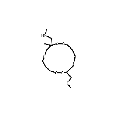 CNCC1(C)CCCCCCCC(CSC)CCCCCCC1